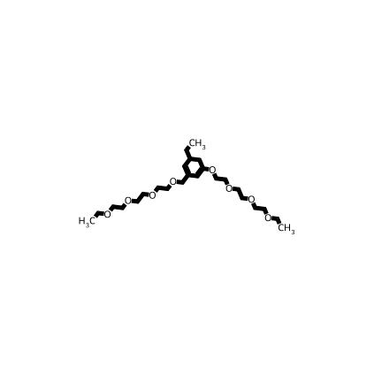 CCOCCOCCOCCOCC1=CC(CC)CC(OCCOCCOCCOCC)=C1